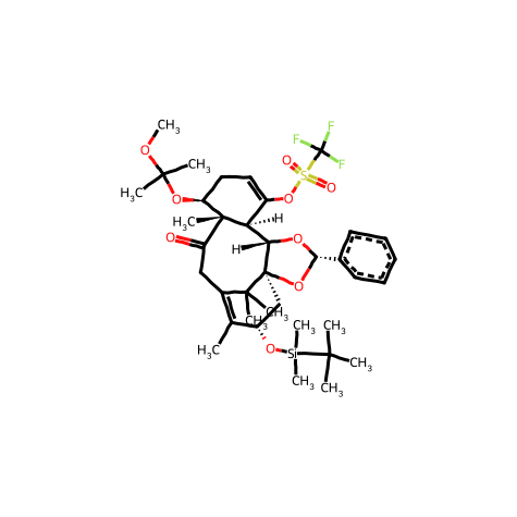 COC(C)(C)O[C@H]1CC=C(OS(=O)(=O)C(F)(F)F)[C@H]2[C@@H]3O[C@H](c4ccccc4)O[C@]34C[C@H](O[Si](C)(C)C(C)(C)C)C(C)=C(CC(=O)[C@]12C)C4(C)C